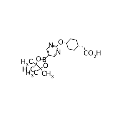 CC1(C)OB(c2cnc(O[C@H]3CC[C@@H](CC(=O)O)CC3)nc2)OC1(C)C